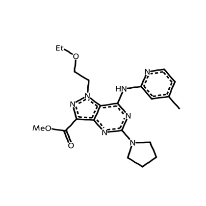 CCOCCn1nc(C(=O)OC)c2nc(N3CCCC3)nc(Nc3cc(C)ccn3)c21